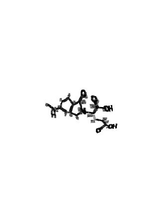 CNc1ccc2c(c1)CN([C@@H](CCC(=O)O)C(=O)O)C2=O